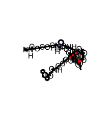 CCCC1O[C@@H]2C[C@H]3[C@@H]4C[C@H](F)C5=CC(=O)C=C[C@]5(C)[C@@]4(F)[C@@H](O)C[C@]3(C)[C@]2(C(=O)CNC(=O)[C@H](C)NC(=O)[C@@H](NC(=O)[C@@H](CCCCNC(=O)COC2CCCCC/C(NCCOCCOCCOCCOCCC(=O)NCC[N+](C)(C)C)=C\2N=N)NC(=O)CCOCCOCCOCCOCCNC(=O)CCC(=O)N2Cc3ccccc3C#Cc3ccccc32)C(C)C)O1